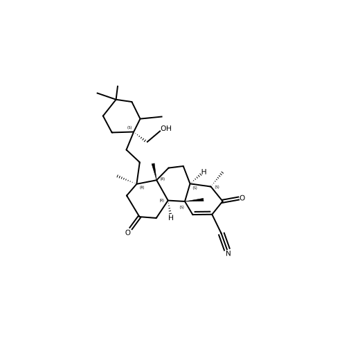 CC1CC(C)(C)CC[C@]1(CO)CC[C@]1(C)CC(=O)C[C@@H]2[C@@]3(C)C=C(C#N)C(=O)[C@@H](C)[C@@H]3CC[C@]21C